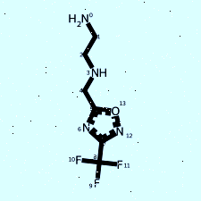 NCCNCc1nc(C(F)(F)F)no1